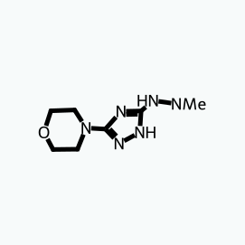 CNNc1nc(N2CCOCC2)n[nH]1